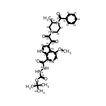 COc1cnc(C(=O)NNC(=O)OC(C)(C)C)c2[nH]cc(C(=O)C(=O)N3CCN(C(=O)c4ccccc4)C(C)C3)c12